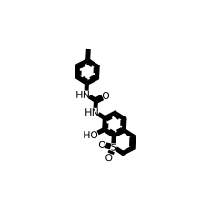 Cc1ccc(NC(=O)Nc2ccc3c(c2O)S(=O)(=O)CC=C3)cc1